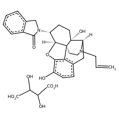 C=CCN1CC[C@]23c4c5ccc(O)c4O[C@H]2[C@H](N2Cc4ccccc4C2=O)CC[C@@]3(O)[C@H]1C5.O=C(O)C(O)C(O)C(=O)O